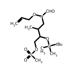 C=CCON(C=O)CC(C)C(COS(C)(=O)=O)O[Si](C)(C)C(C)(C)C